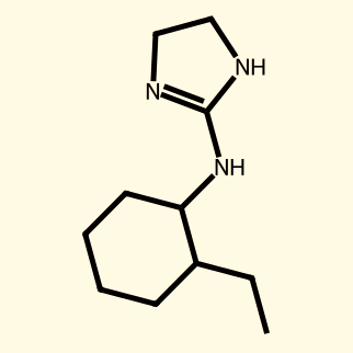 CCC1CCCCC1NC1=NCCN1